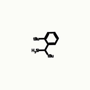 CC(C)(C)c1ccccc1C([SiH3])C(C)(C)C